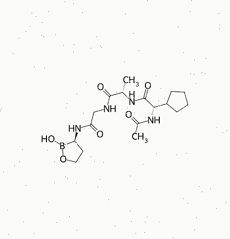 CC(=O)N[C@H](C(=O)N[C@@H](C)C(=O)NCC(=O)N[C@H]1CCOB1O)C1CCCC1